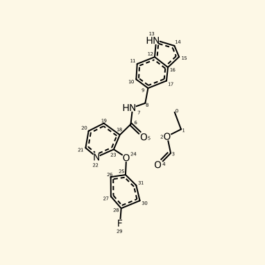 CCOC=O.O=C(NCc1ccc2[nH]ccc2c1)c1cccnc1Oc1ccc(F)cc1